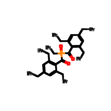 CC(C)Cc1cc(CC(C)C)c(C(=O)P(=O)(CC(C)C)C(=O)c2c(CC(C)C)cc(CC(C)C)cc2CC(C)C)c(CC(C)C)c1